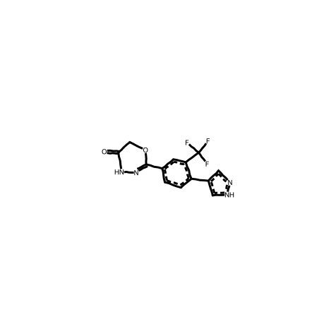 O=C1COC(c2ccc(-c3cn[nH]c3)c(C(F)(F)F)c2)=NN1